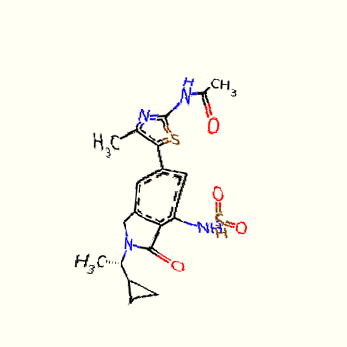 CC(=O)Nc1nc(C)c(-c2cc3c(c(N[SH](=O)=O)c2)C(=O)N([C@@H](C)C2CC2)C3)s1